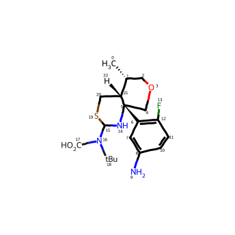 C[C@@H]1COC[C@]2(c3cc(N)ccc3F)NC(N(C(=O)O)C(C)(C)C)SC[C@H]12